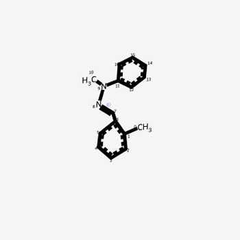 Cc1ccccc1/C=N/N(C)c1ccccc1